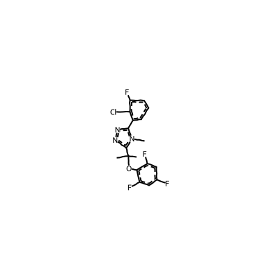 Cn1c(-c2cccc(F)c2Cl)nnc1C(C)(C)Oc1c(F)cc(F)cc1F